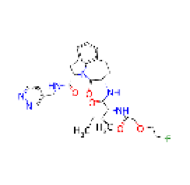 CC[C@H](C)[C@H](NC(=O)COCCF)C(=O)N[C@H]1CCc2cccc3c2N(C1=O)[C@H](C(=O)NCc1ccnnc1)C3